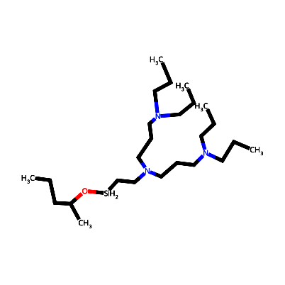 CCCC(C)O[SiH2]CCN(CCCN(CCC)CCC)CCCN(CCC)CCC